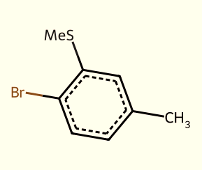 CSc1cc(C)ccc1Br